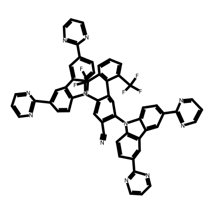 N#Cc1cc(-n2c3ccc(-c4ncccn4)cc3c3cc(-c4ncccn4)ccc32)c(-c2c(C(F)(F)F)cccc2C(F)(F)F)cc1-n1c2ccc(-c3ncccn3)cc2c2cc(-c3ncccn3)ccc21